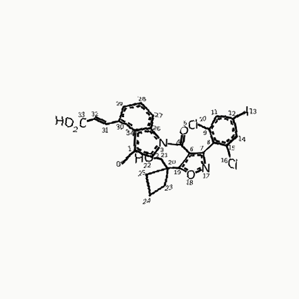 Cc1cn(C(=O)c2c(-c3c(Cl)cc(I)cc3Cl)noc2C2(CO)CCC2)c2cccc(/C=C/C(=O)O)c12